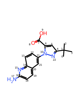 CC(C)(C)c1cc(C(=O)O)n(-c2ccc3nc(N)ccc3c2)n1